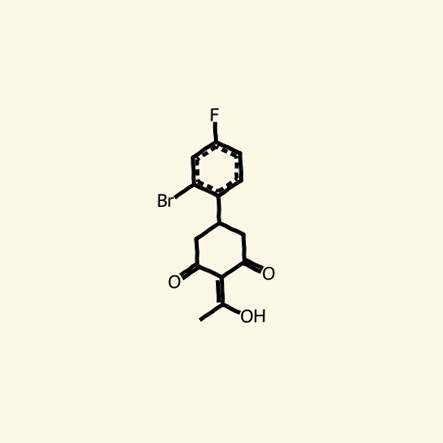 CC(O)=C1C(=O)CC(c2ccc(F)cc2Br)CC1=O